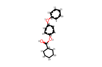 O=C(Oc1ccc(Oc2ccccc2)cc1)C1CCCCC1